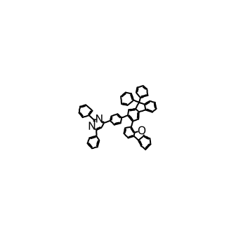 c1ccc(-c2cc(-c3ccc(-c4cc5c(cc4-c4cccc6c4oc4ccccc46)-c4ccccc4C5(c4ccccc4)c4ccccc4)cc3)nc(-c3ccccc3)n2)cc1